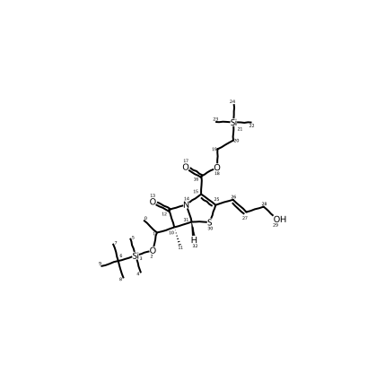 CC(O[Si](C)(C)C(C)(C)C)[C@@]1(C)C(=O)N2C(C(=O)OCC[Si](C)(C)C)=C(/C=C/CO)S[C@@H]21